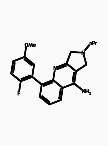 CCCN1Cc2nc3c(-c4cc(OC)ccc4F)cccc3c(N)c2C1